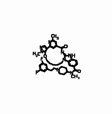 Cc1cc2cc(n1)-c1cnn(C)c1OCCCCCN1/C(=N/C2=O)Nc2ccc(C(=O)N(C)C3CCN(CCc4cc(F)cc(F)c4)CC3)cc21